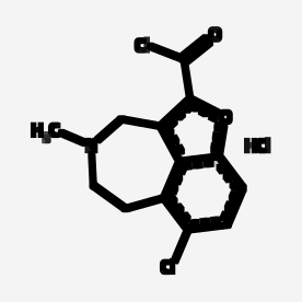 CN1CCc2c(Cl)ccc3oc(C(=O)Cl)c(c23)C1.Cl